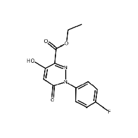 CCOC(=O)c1nn(-c2ccc(F)cc2)c(=O)cc1O